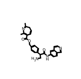 CC1=NC(C)=C(C(=O)OCc2ccc(C(CN)C(=O)Nc3ccc4cnccc4c3)cc2)C=CC1